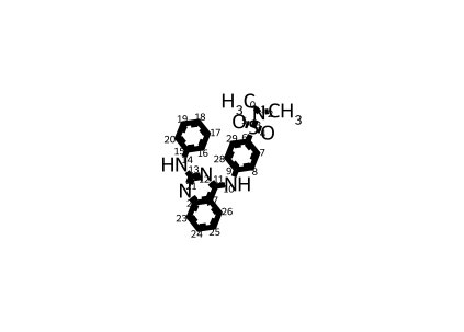 CN(C)S(=O)(=O)c1ccc(Nc2nc(Nc3ccccc3)nc3ccccc23)cc1